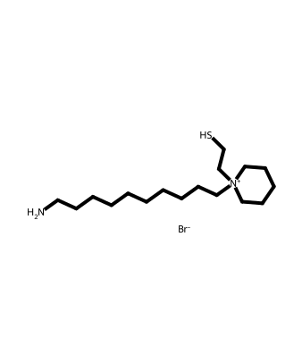 NCCCCCCCCCC[N+]1(CCS)CCCCC1.[Br-]